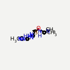 CN1CCN(c2cccc(Nc3nccc(-c4ccc(C(=O)NCc5cccc(N(C)C)c5)s4)n3)c2)CC1